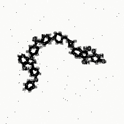 Nc1ncnc2c1c(-c1ccc(Oc3ccccc3)cc1)nn2C1CCN(C(=O)c2ccc(N3CCN(CC4CN(c5ccc6c(c5)C(O)N(C5CCC(=O)NC5=O)C6O)C4)CC3)nn2)CC1